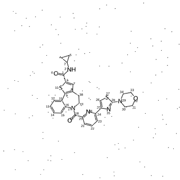 O=C(NC1CC1)c1cc2c(s1)-c1ccccc1N(C(=O)c1cccc(-c3csc(N4CCOCC4)n3)n1)CC2